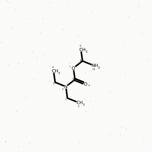 CCN(CC)C(=O)OC(C)N